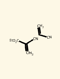 C=C(C#N)C(=O)OCC.C=CC#N